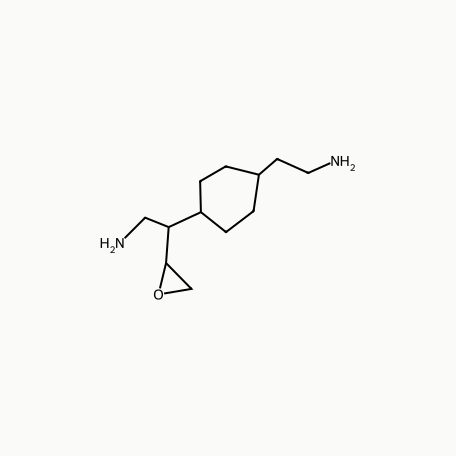 NCCC1CCC(C(CN)C2CO2)CC1